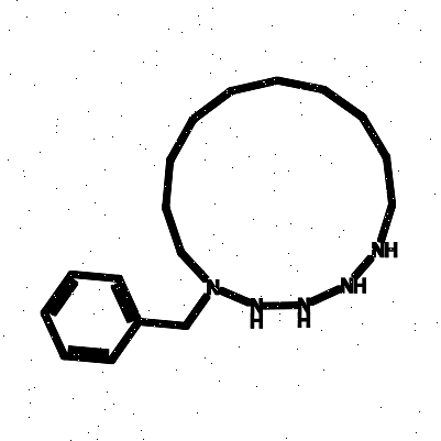 c1ccc(CN2CCCCCCCCCCNNNN2)cc1